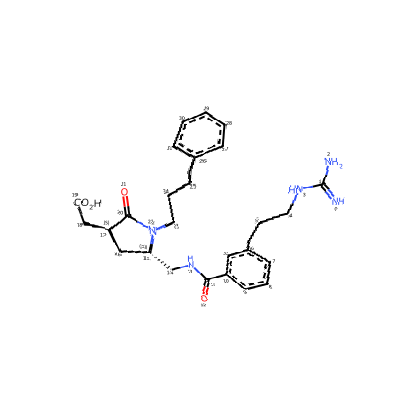 N=C(N)NCCc1cccc(C(=O)NC[C@@H]2C[C@@H](CC(=O)O)C(=O)N2CCCc2ccccc2)c1